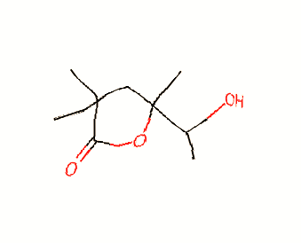 CC(O)C1(C)CC(C)(C)C(=O)O1